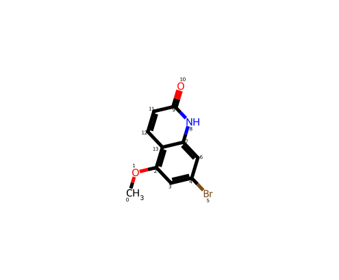 COc1cc(Br)cc2[nH]c(=O)ccc12